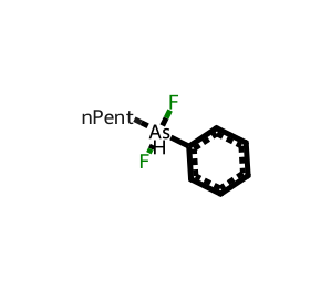 CCCCC[AsH](F)(F)c1ccccc1